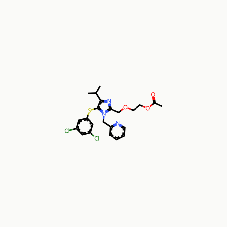 CC(=O)OCCOCc1nc(C(C)C)c(Sc2cc(Cl)cc(Cl)c2)n1Cc1ccccn1